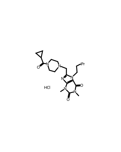 CC(C)CCn1c(CN2CCN(C(=O)C3CC3)CC2)nc2c1c(=O)n(C)c(=O)n2C.Cl